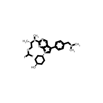 C[C@@H](COC(F)F)N(C)c1ncc2c(-c3ccc(CN(C)C)cc3)cn([C@H]3CC[C@H](O)CC3)c2n1